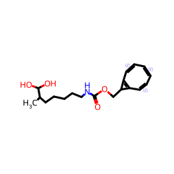 CC(CCCCCNC(=O)OCC1C2=C1\C=C/C=C\C=C/2)C(O)O